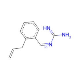 C=CCc1ccccc1/C=N\C(=N)N